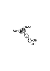 COB/N=C(\NBOC)N1CCN(c2ccc(O)c(O)c2)CC1